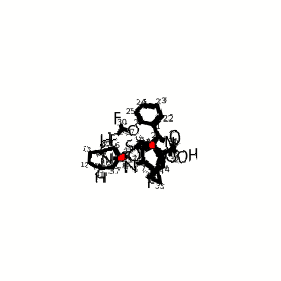 O=C(O)c1cc(F)c2nc(N3[C@@H]4CC[C@H]3C[C@@H](OCc3c(-c5ccccc5OC(F)F)noc3C3CC3)C4)sc2c1